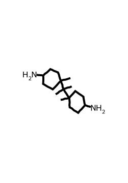 CC1(C(C)(C)C2(C)CCC(N)CC2)CCC(N)CC1